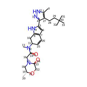 Cc1[nH]nc(-c2cc3c([nH]2)CC(N(C)C(=O)CN2C[C@@H](C)OCC2=O)C=C3)c1CCC(C)(C)C